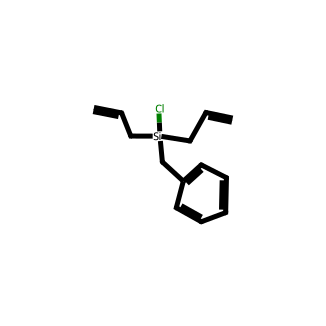 C=CC[Si](Cl)(CC=C)Cc1ccccc1